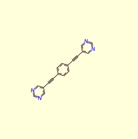 C(#Cc1cncnc1)c1ccc(C#Cc2cncnc2)cc1